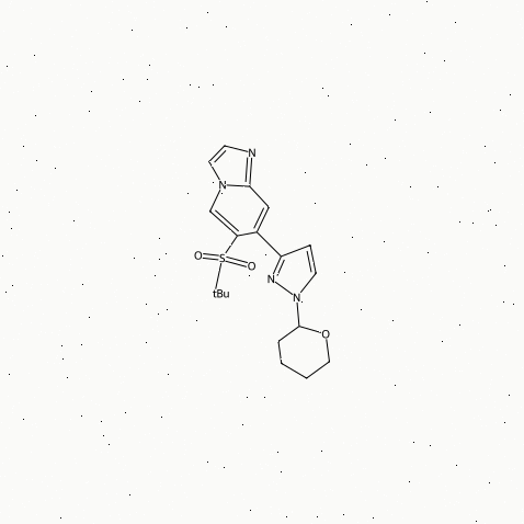 CC(C)(C)S(=O)(=O)c1cn2ccnc2cc1-c1ccn(C2CCCCO2)n1